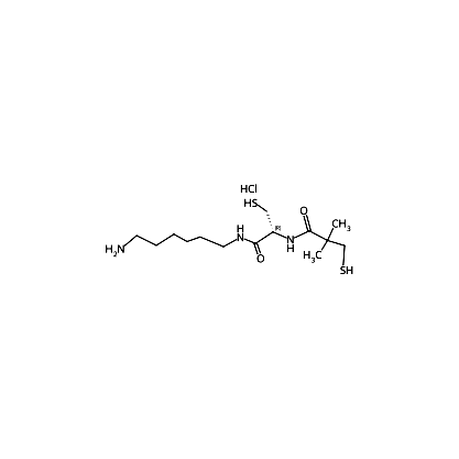 CC(C)(CS)C(=O)N[C@@H](CS)C(=O)NCCCCCCN.Cl